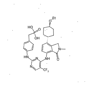 CCO[C@H]1CC[C@H](c2ccc(Nc3nc(Nc4ccc(CP(=O)(O)O)cc4)ncc3C(F)(F)F)c3c2CN(C)C3=O)CC1